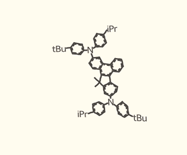 CC(C)c1ccc(N(c2ccc(C(C)(C)C)cc2)c2ccc3c(c2)C(C)(C)c2c-3c3ccccc3c3cc(N(c4ccc(C(C)C)cc4)c4ccc(C(C)(C)C)cc4)ccc23)cc1